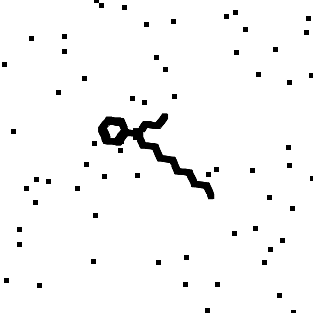 CCCCCCCCCN(CCC)c1ccccc1